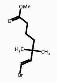 COC(=O)CCCC(C)(C)/C=C/Br